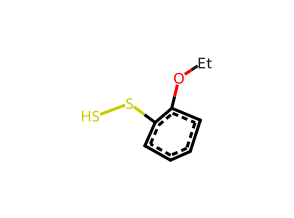 CCOc1ccccc1SS